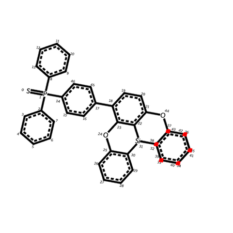 S=P(c1ccccc1)(c1ccccc1)c1ccc(-c2ccc3c4c2Oc2ccccc2[Si]4(c2ccccc2)c2ccccc2O3)cc1